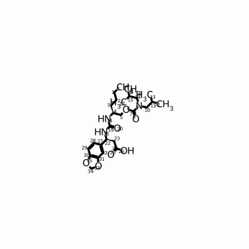 CCCC[C@@H](COC(=O)N(CC(C)C)CC(C)C)NC(=O)N[C@@H](CC(=O)O)c1ccc2c(c1)OCO2